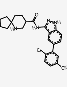 N#Cc1ccc(Cl)c(-c2ccc3[nH]nc(NC(=O)[C@@H]4CCC5(CCCC5)NC4)c3c2)c1